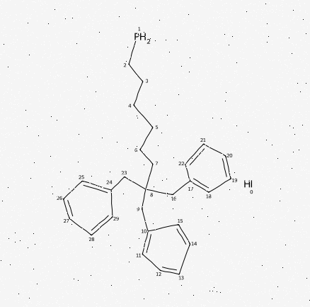 I.PCCCCCCC(Cc1ccccc1)(Cc1ccccc1)Cc1ccccc1